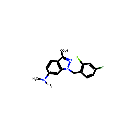 CN(C)c1ccc2c(C(=O)O)nn(Cc3ccc(Cl)cc3F)c2c1